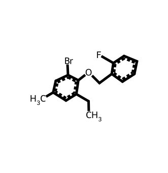 CCc1cc(C)cc(Br)c1OCc1ccccc1F